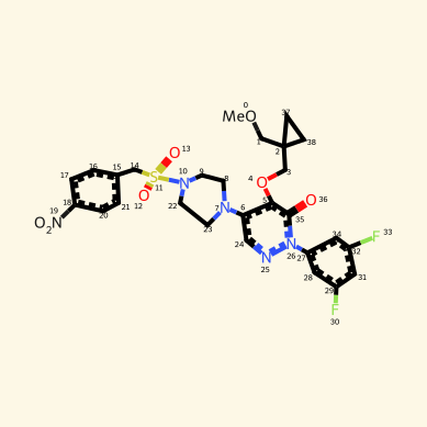 COCC1(COc2c(N3CCN(S(=O)(=O)Cc4ccc([N+](=O)[O-])cc4)CC3)cnn(-c3cc(F)cc(F)c3)c2=O)CC1